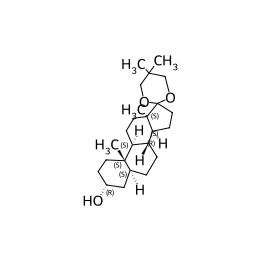 CC1(C)COC2(CC[C@H]3[C@@H]4CC[C@H]5C[C@H](O)CC[C@]5(C)[C@H]4CC[C@@]32C)OC1